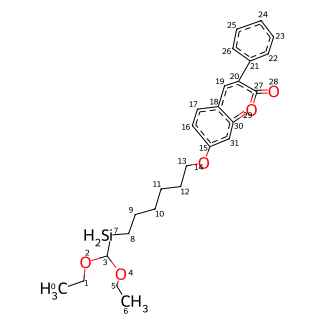 CCOC(OCC)[SiH2]CCCCCCOc1ccc2cc(-c3ccccc3)c(=O)oc2c1